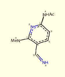 CNc1nc(NC(C)=O)ccc1C=N